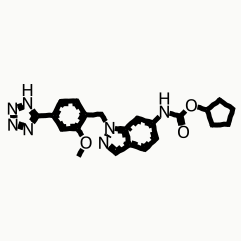 COc1cc(-c2nnn[nH]2)ccc1Cn1ncc2ccc(NC(=O)OC3CCCC3)cc21